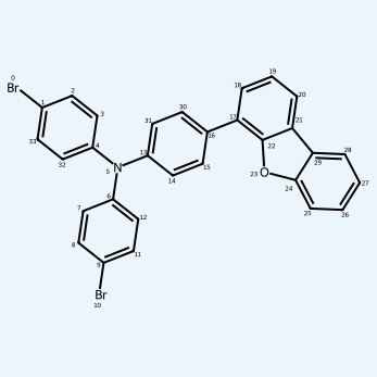 Brc1ccc(N(c2ccc(Br)cc2)c2ccc(-c3cccc4c3oc3ccccc34)cc2)cc1